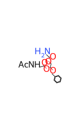 CC(=O)NCC(=O)OC(COC(=O)CN)OCc1ccccc1